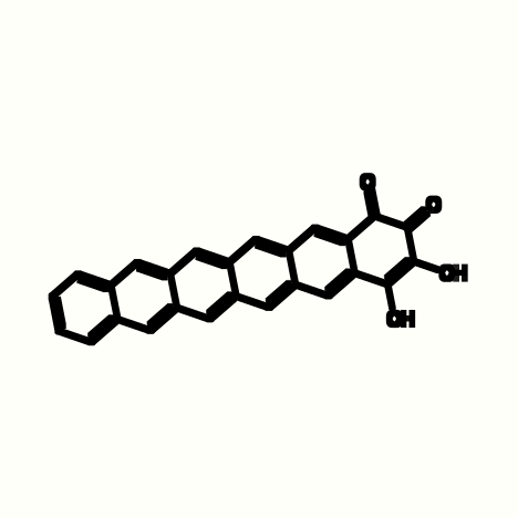 O=C1C(=O)c2cc3cc4cc5cc6ccccc6cc5cc4cc3cc2C(O)=C1O